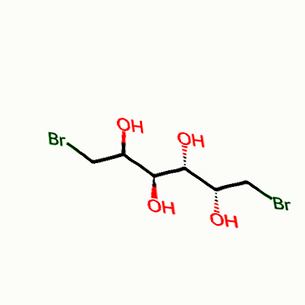 OC(CBr)[C@H](O)[C@H](O)[C@@H](O)CBr